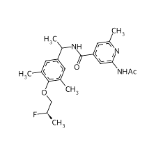 CC(=O)Nc1cc(C(=O)NC(C)c2cc(C)c(OC[C@@H](C)F)c(C)c2)cc(C)n1